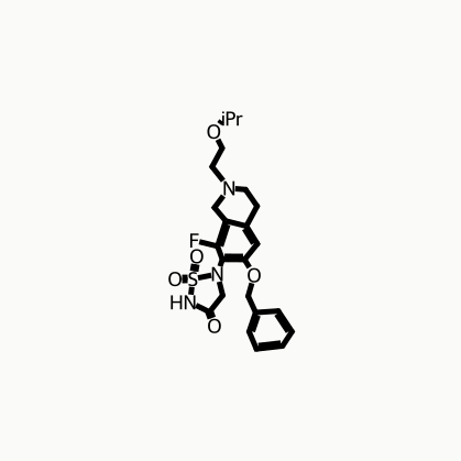 CC(C)OCCN1CCc2cc(OCc3ccccc3)c(N3CC(=O)NS3(=O)=O)c(F)c2C1